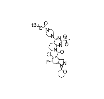 CC(C)(C)OC(=O)N1CCN(c2nc(S(C)(=O)=O)nc3c2CCCN3C(=O)c2c(Cl)c(F)cc3c2cnn3C2CCCCO2)CC1